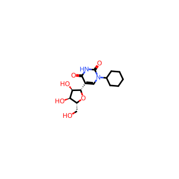 O=c1[nH]c(=O)n(C2CCCCC2)cc1[C@@H]1O[C@H](CO)[C@@H](O)[C@H]1O